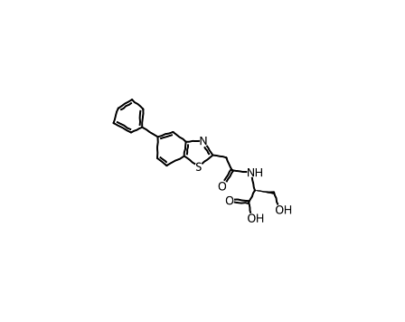 O=C(Cc1nc2cc(-c3ccccc3)ccc2s1)N[C@@H](CO)C(=O)O